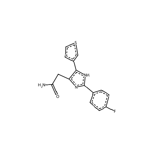 NC(=O)Cc1nc(-c2ccc(F)cc2)[nH]c1-c1ccsc1